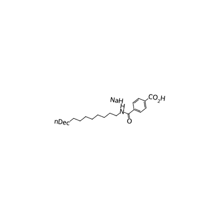 CCCCCCCCCCCCCCCCCCNC(=O)c1ccc(C(=O)O)cc1.[NaH]